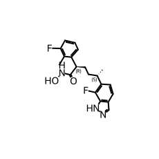 Cc1c(F)cccc1[C@@H](CC[C@H](C)c1ccc2cn[nH]c2c1F)C(=O)NO